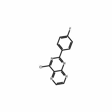 Fc1ccc(-c2nc(Cl)c3nccnc3n2)cc1